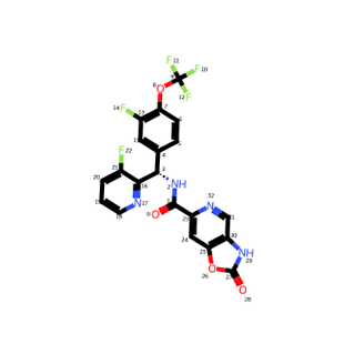 O=C(N[C@@H](c1ccc(OC(F)(F)F)c(F)c1)c1ncccc1F)c1cc2oc(=O)[nH]c2cn1